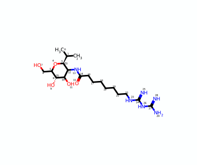 CC(C)[C@@H]1OC(CO)[C@@H](O)C(O)C1NC(=O)CCCCCCCNC(=N)NC(=N)N